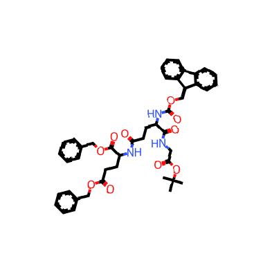 CC(C)(C)OC(=O)CNC(=O)C(CCC(=O)NC(CCC(=O)OCc1ccccc1)C(=O)OCc1ccccc1)NC(=O)OCC1c2ccccc2-c2ccccc21